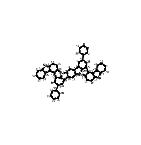 c1ccc(-c2cc3c4cc5c(cc4n4c6ccc7sc8ccccc8c7c6c(c2)c34)c2cc(-c3ccccc3)cc3c4c6c(ccc4n5c23)sc2ccccc26)cc1